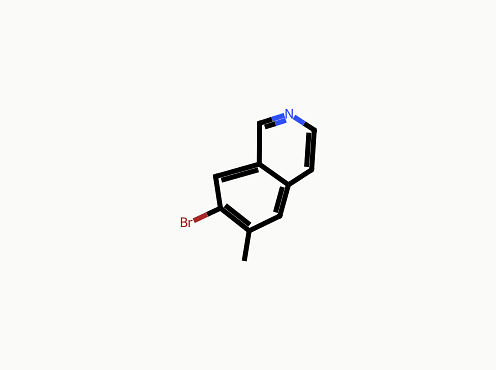 Cc1cc2ccncc2cc1Br